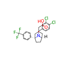 O=C(O)CC1C[C@H]2CC[C@@](c3ccc(C(F)(F)F)cc3)(C1)N2Cc1ccc(Cl)c(Cl)c1